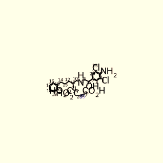 Nc1c(Cl)cc(C(O)CNCC(CCCc2ccccc2)CC(=O)O)cc1Cl.O=C(O)/C=C\C(=O)O